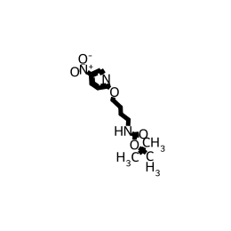 CC(C)(C)OC(=O)NCCCCOc1ccc([N+](=O)[O-])cn1